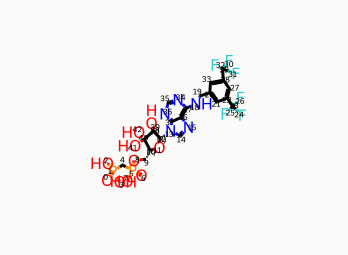 O=P(O)(O)CP(=O)(O)OC[C@H]1O[C@@H](n2cnc3c(NCc4cc(C(F)(F)F)cc(C(F)(F)F)c4)ncnc32)[C@H](O)C1(O)O